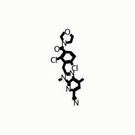 Cc1cc(C#N)nc2c1nc(Cc1c(Cl)ccc(C(=O)N3CCOCC3)c1Cl)n2C